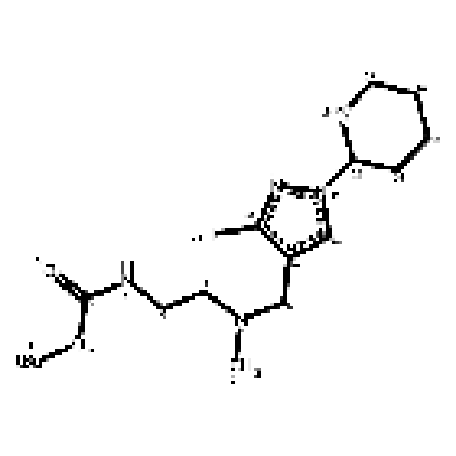 CN(CCNC(=O)OC(C)(C)C)Cc1cn(C2CCCCO2)nc1I